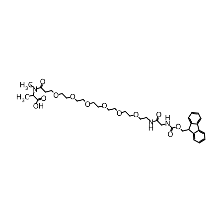 CC(C(=O)O)N(C)C(=O)CCOCCOCCOCCOCCOCCOCCNC(=O)CNC(=O)OCC1c2ccccc2-c2ccccc21